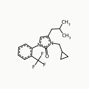 CC(C)Cc1cn(-c2ccccc2C(F)(F)F)c(=O)n1CC1CC1